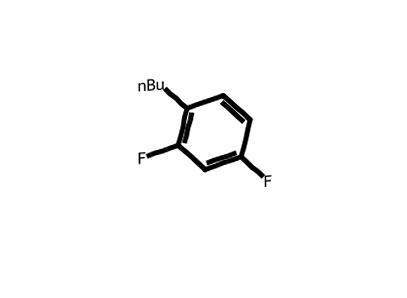 C[CH]CCc1ccc(F)cc1F